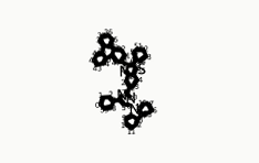 c1ccc(-c2cc(-n3c4ccccc4c4ccccc43)nc(-c3ccc4c(c3)nc(-c3ccc5c6ccccc6c6ccccc6c5c3)c3c5ccccc5sc43)n2)cc1